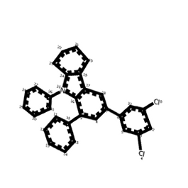 Clc1cc(Cl)cc(-c2cc(-c3ccccc3)c3c(c2)c2ccccc2n3-c2ccccc2)c1